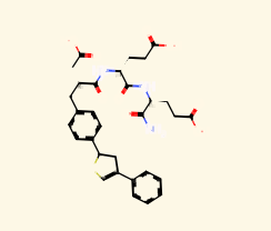 NC(=O)[C@H](CCC(=O)O)NC(=O)[C@H](CCC(=O)O)NC(=O)[C@@H](CC(=O)O)Cc1ccc(C2CC(c3ccccc3)=CS2)cc1